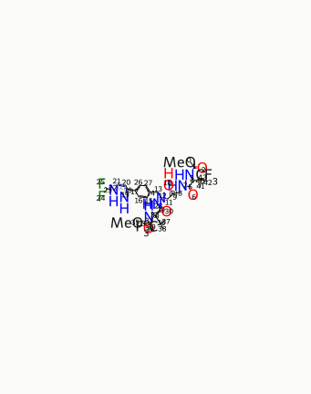 COC(=O)NC(C(=O)NC[C@@H](O)CN(Cc1ccc(C(=N)/C=C\NC(F)F)cc1)NC(=O)[C@@H](NC(=O)OC)C(C)(C)C(F)(F)F)C(C)(C)C(F)(F)F